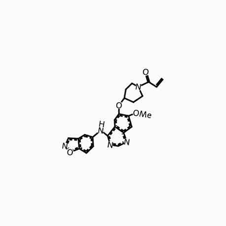 C=CC(=O)N1CCC(Oc2cc3c(Nc4ccc5oncc5c4)ncnc3cc2OC)CC1